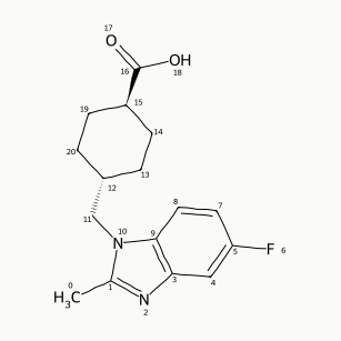 Cc1nc2cc(F)ccc2n1C[C@H]1CC[C@H](C(=O)O)CC1